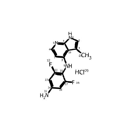 Cc1c[nH]c2nccc(Nc3c(F)cc(N)cc3F)c12.Cl